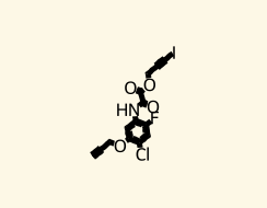 C#CCOc1cc(NC(=O)C(=O)OCC#CI)c(F)cc1Cl